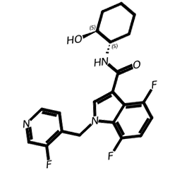 O=C(N[C@H]1CCCC[C@@H]1O)c1cn(Cc2ccncc2F)c2c(F)ccc(F)c12